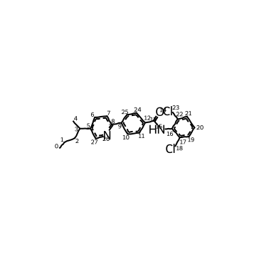 CCCC(C)c1ccc(-c2ccc(C(=O)Nc3c(Cl)cccc3Cl)cc2)nc1